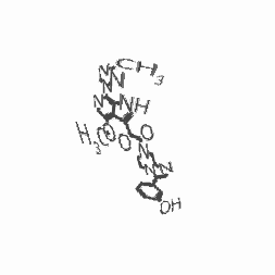 COc1cnc(-n2cnc(C)n2)c2[nH]cc(C(=O)C(=O)N3CCn4c(-c5cccc(O)c5)cnc4C3)c12